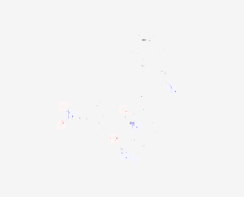 CC(C)[C@@](C#N)(CCCCC(=O)[N@@+]1(CCc2ccc([N+](=O)[O-])cc2)CCCC1C(N)=O)c1ccccc1